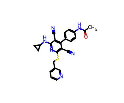 CC(=O)Nc1ccc(-c2c(C#N)c(NC3CC3)nc(SCc3cccnc3)c2C#N)cc1